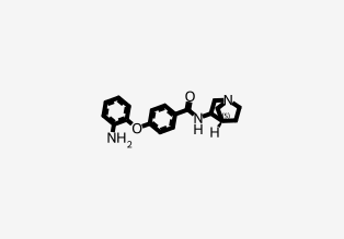 Nc1ccccc1Oc1ccc(C(=O)NC2CN3CC[C@H]2C3)cc1